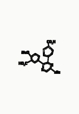 CCCCc1cnc(-c2ccc(OC)c(C(=O)O)c2)c(-c2ccc(C(=O)O)cc2)n1